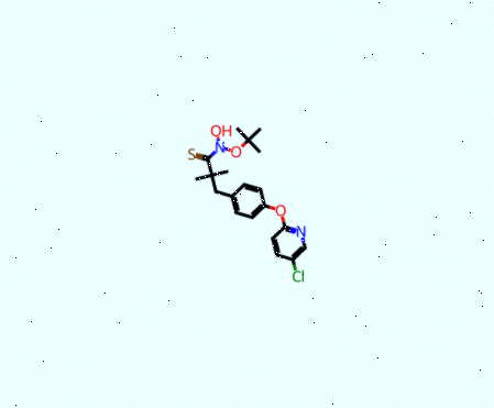 CC(C)(C)ON(O)C(=S)C(C)(C)Cc1ccc(Oc2ccc(Cl)cn2)cc1